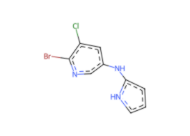 Clc1cc(Nc2ccc[nH]2)cnc1Br